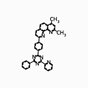 Cc1cc(C)c2ccc3ccc(-c4ccc(-c5nc(-c6ccccc6)nc(-c6ccccn6)n5)cc4)nc3c2n1